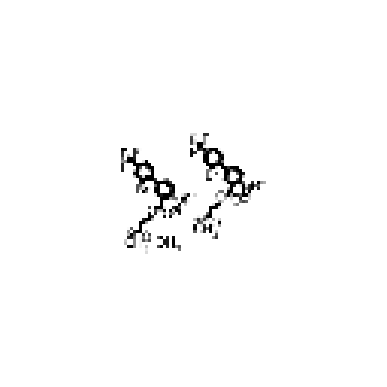 COC(=O)CCOC(=O)c1cc(-c2ccc(C(F)(F)F)cc2Br)ccc1[N+](=O)[O-].COC(=O)CCOC(=O)c1cc(-c2ccc(C(F)(F)F)cc2Br)ccc1[N+](=O)[O-].O